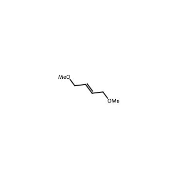 [CH2-][OH+]C/C=C/C[OH+][CH2-]